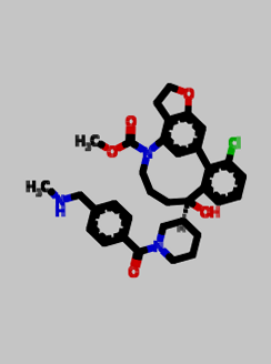 CNCc1ccc(C(=O)N2CCC[C@@H](C3(O)CCCN(C(=O)OC)c4cc(cc5c4CCO5)-c4c(Cl)cccc43)C2)cc1